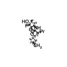 CC(C)[C@H](CC(=O)C1CCN(C)C1)C(=O)NC(CC(=O)O)C(=O)CF